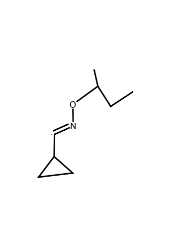 CCC(C)O/N=[C]/C1CC1